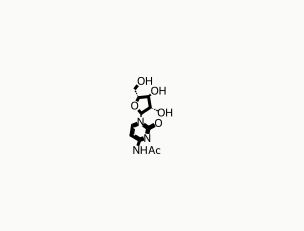 CC(=O)Nc1ccn([C@@H]2O[C@H](CO)[C@@H](O)[C@@H]2O)c(=O)n1